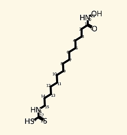 O=C(CCCCCCCCCCCCCCNC(=S)S)NO